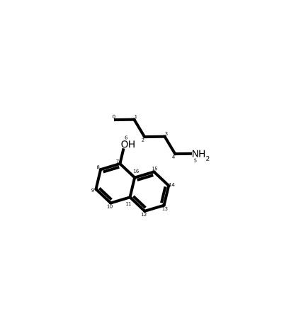 CCCCCN.Oc1cccc2ccccc12